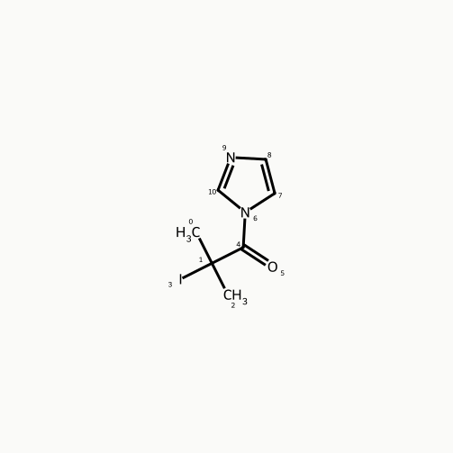 CC(C)(I)C(=O)n1ccnc1